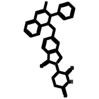 CC1=Cc2ccccc2N(Cc2ccc3c(c2)CN(C2CCC(=O)NC2=O)C3=O)C1c1ccccc1